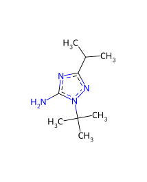 CC(C)c1nc(N)n(C(C)(C)C)n1